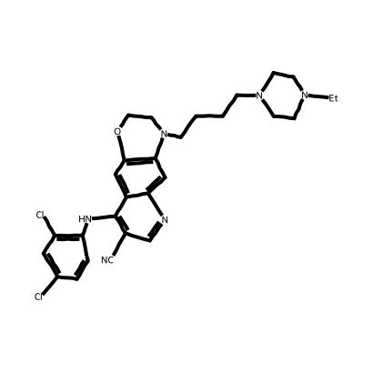 CCN1CCN(CCCCN2CCOc3cc4c(Nc5ccc(Cl)cc5Cl)c(C#N)cnc4cc32)CC1